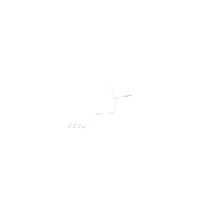 CC(C)CCC=S